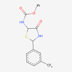 CC(C)OC(=O)NC1SC(c2cccc(C(F)(F)F)c2)NC1=O